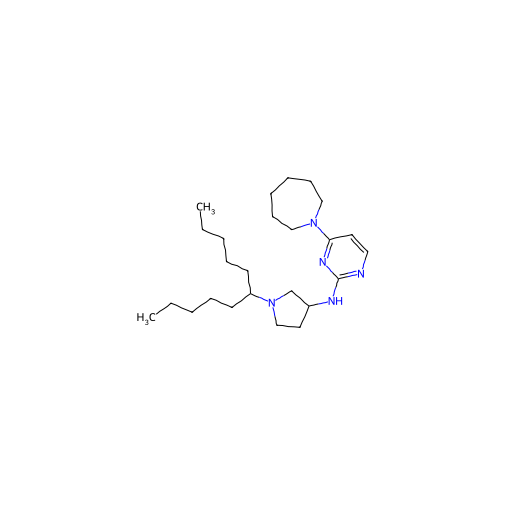 CCCCCC(CCCCC)N1CCC(Nc2nccc(N3CCCCCC3)n2)C1